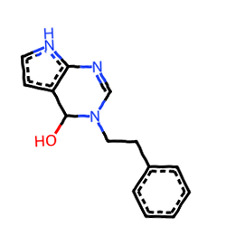 OC1c2cc[nH]c2N=CN1CCc1ccccc1